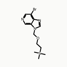 C[Si](C)(C)CCOCn1cnc2c(Br)cncc21